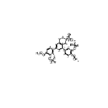 COc1ccc(-c2cc3c(c(-c4ccc(OC)c(OC(F)(F)F)c4)c2)CN(C(=O)O)CC3)cc1OC(F)(F)F